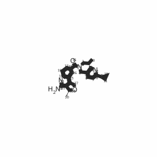 CCCN(Cc1ccc(C2CC2)nc1)C(=O)c1ccc2nc(N)c3c(c2c1)CO[C@@H]3C